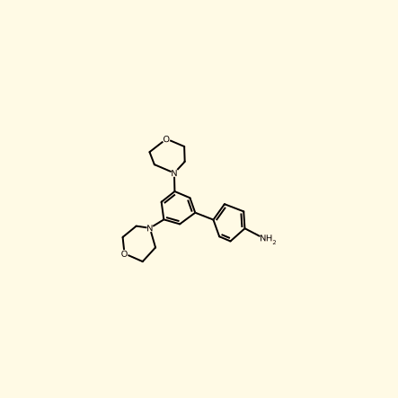 Nc1ccc(-c2cc(N3CCOCC3)cc(N3CCOCC3)c2)cc1